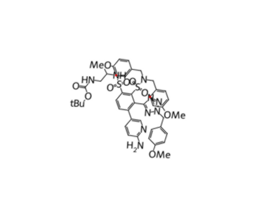 COc1ccc(CN(Cc2ccc(OC)cc2)S(=O)(=O)c2c(S(=O)(=O)NC(C)CNC(=O)OC(C)(C)C)ccc(-c3ccc(N)nc3)c2-c2nnn(Cc3ccc(OC)cc3)n2)cc1